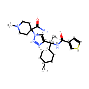 CN1CCC(C(N)=O)(n2cc([C@@](C)(NC(=O)c3ccsc3)[C@H]3CC[C@H](C)CC3)nn2)CC1